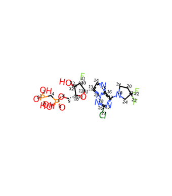 O=P(O)(O)CP(=O)(O)OC[C@H]1O[C@@H](c2cnc3c(N4CCC(F)(F)C4)nc(Cl)nn23)[C@@H](F)[C@@H]1O